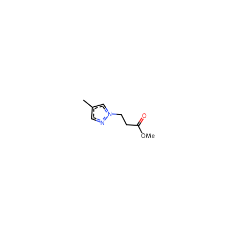 COC(=O)CCn1cc(C)cn1